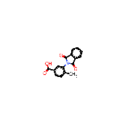 Cc1ccc(C(=O)O)cc1N1C(=O)c2ccccc2C1=O